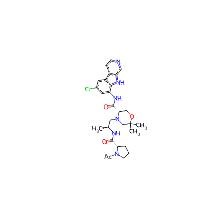 CC(=O)N1CCC[C@H]1C(=O)N[C@@H](C)CN1CC(C)(C)OC[C@H]1C(=O)Nc1cc(Cl)cc2c1[nH]c1cnccc12